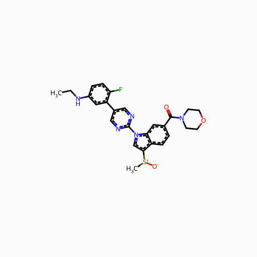 CCNc1ccc(F)c(-c2cnc(-n3cc([S+](C)[O-])c4ccc(C(=O)N5CCOCC5)cc43)nc2)c1